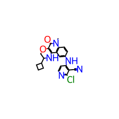 Cn1c(=O)c2c(c3cc(Nc4ccnc(Cl)c4C#N)ccc31)NC(C1CCC1)CO2